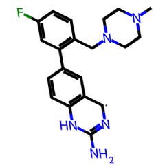 CN1CCN(Cc2ccc(F)cc2-c2ccc3c(c2)[CH]N=C(N)N3)CC1